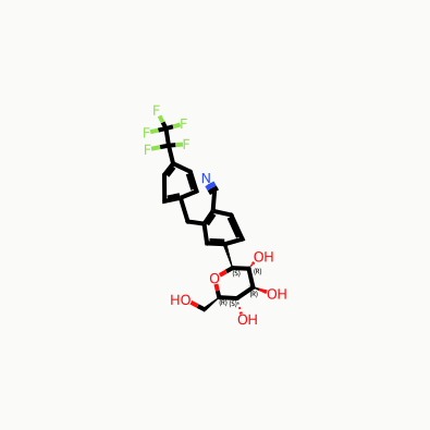 N#Cc1ccc([C@@H]2O[C@H](CO)[C@@H](O)[C@H](O)[C@H]2O)cc1Cc1ccc(C(F)(F)C(F)(F)F)cc1